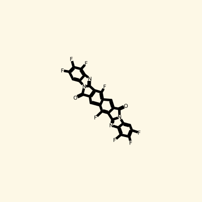 O=c1c2cc3c(F)c4c(cc3c(F)c2c2nc3c(F)c(F)c(F)cc3n12)c(=O)n1c2cc(F)c(F)c(F)c2nc41